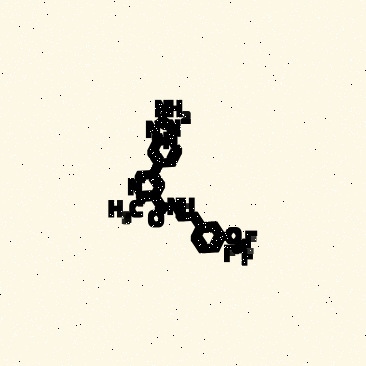 Cc1ncc(-c2ccn3nc(N)nc3c2)cc1C(=O)NCCc1cccc(OC(F)(F)F)c1